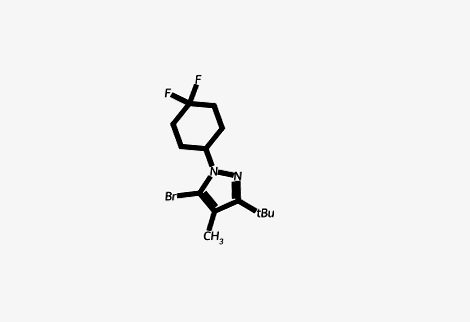 Cc1c(C(C)(C)C)nn(C2CCC(F)(F)CC2)c1Br